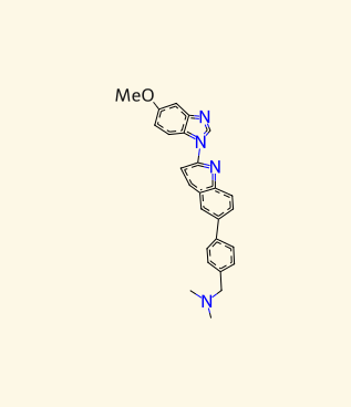 COc1ccc2c(c1)ncn2-c1ccc2cc(-c3ccc(CN(C)C)cc3)ccc2n1